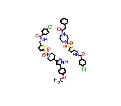 COc1ccc(-c2cc(C3CCN(S(=O)(=O)c4ccc(CNC(=O)c5ccc(Cl)cc5)s4)CC3)n[nH]2)cc1.O=C(NCc1ccc(S(=O)(=O)N2CCCN(C(=O)Cc3ccccc3)CC2)s1)c1ccc(Cl)cc1